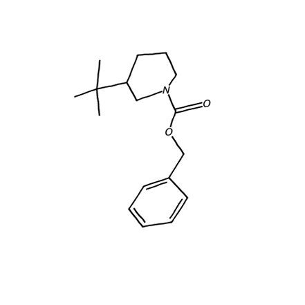 CC(C)(C)C1CCCN(C(=O)OCc2ccccc2)C1